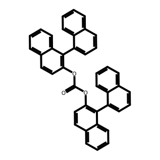 O=C(Oc1ccc2ccccc2c1-c1cccc2ccccc12)Oc1ccc2ccccc2c1-c1cccc2ccccc12